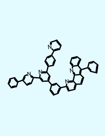 c1ccc(-c2ccc(-c3cc(-c4cccc(-c5ccc6ccc7c(-c8ccccc8)c8ccccc8nc7c6n5)c4)cc(-c4ccc(-c5ccccn5)cc4)n3)nc2)cc1